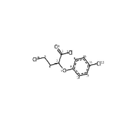 O=C(Cl)C(CCCl)Oc1ccc(Cl)cc1